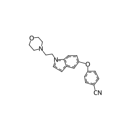 N#Cc1ccc(Oc2ccc3c(ccn3CCN3CCOCC3)c2)cc1